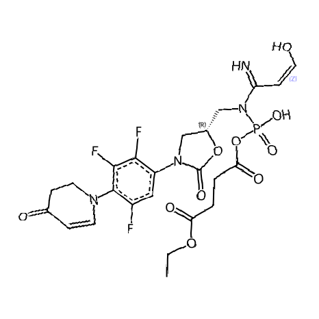 CCOC(=O)CCC(=O)OP(=O)(O)N(C[C@H]1CN(c2cc(F)c(N3C=CC(=O)CC3)c(F)c2F)C(=O)O1)C(=N)/C=C\O